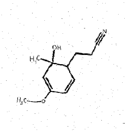 COC1=CC(C)(O)C(CCC#N)C=C1